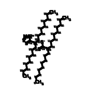 CCCCCCCCCN(CCCCCCCCC)C(=S)[S-].CCCCCCCCCN(CCCCCCCCC)C(=S)[S-].[S]=[Mo+2]